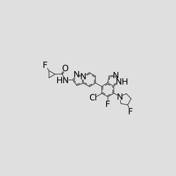 O=C(Nc1cc2cc(-c3c(Cl)c(F)c(N4CCC(F)C4)c4[nH]ncc34)ccn2n1)C1CC1F